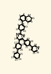 C1=Cc2c(cccc2-c2ccc(-c3ncc(-c4ccc(-c5ccccc5)cc4)c(-c4ccc(-c5cccnc5)cc4)n3)cc2)CC1